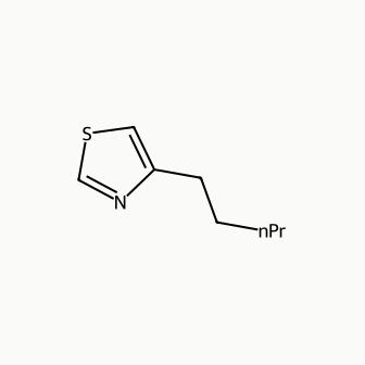 CCCCCc1cscn1